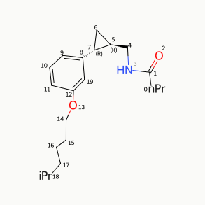 CCCC(=O)NC[C@@H]1C[C@H]1c1cccc(OCCCCC(C)C)c1